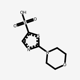 O=S(=O)(O)c1cnc(N2CCOCC2)s1